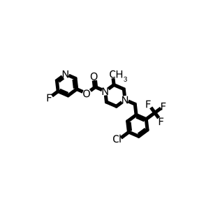 CC1CN(Cc2cc(Cl)ccc2C(F)(F)F)CCN1C(=O)Oc1cncc(F)c1